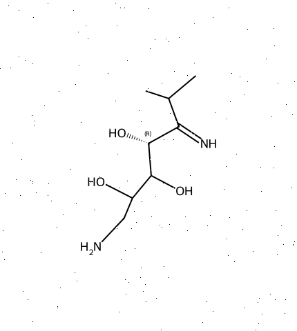 CC(C)C(=N)[C@@H](O)C(O)C(O)CN